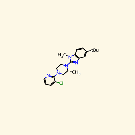 C[C@@H]1CN(c2ncccc2Cl)CCN1c1nc2cc(C(C)(C)C)ccc2n1C